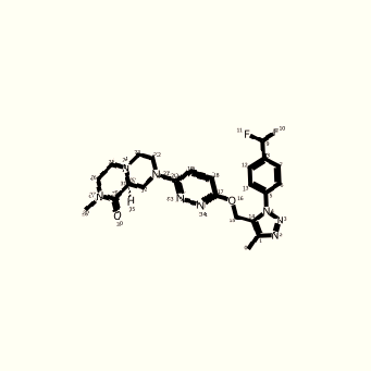 Cc1nnn(-c2ccc(C(F)F)cc2)c1COc1ccc(N2CCN3CCN(C)C(=O)[C@@H]3C2)nn1